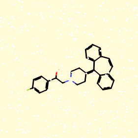 OC(CN1CCC(=C2c3ccccc3C=Cc3ccccc32)CC1)c1ccc(F)cc1